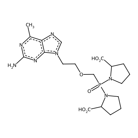 Cc1nc(N)nc2c1ncn2CCOCP(=O)(N1CCCC1C(=O)O)N1CCCC1C(=O)O